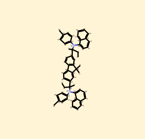 CCC(C)(c1ccc2c(c1)C(C)(C)c1cc(C(C)(CC)N(c3ccc(C)cc3)c3cccc4ccccc34)ccc1-2)N(c1ccc(C)cc1)c1cccc2ccccc12